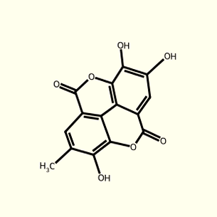 Cc1cc2c(=O)oc3c(O)c(O)cc4c(=O)oc(c1O)c2c34